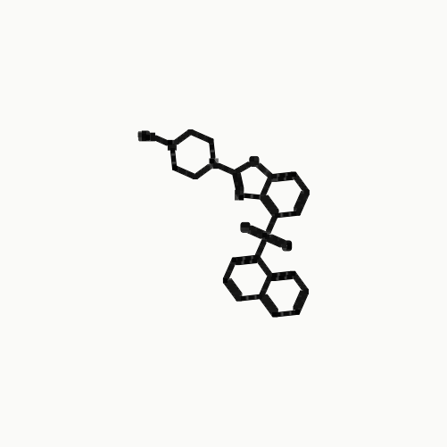 CC(C)(C)N1CCN(c2nc3c(S(=O)(=O)c4cccc5ccccc45)cccc3o2)CC1